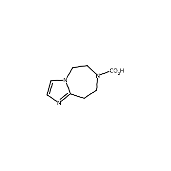 O=C(O)N1CCc2nccn2CC1